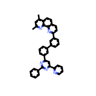 Cc1cc(C)c2ccc3ccc(-c4cccc(-c5cccc(-c6cc(-c7ccccn7)nc(-c7ccccc7)n6)c5)c4)nc3c2n1